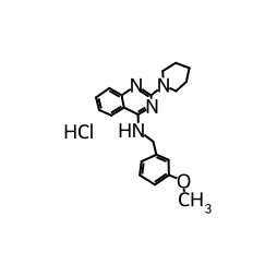 COc1cccc(CNc2nc(N3CCCCC3)nc3ccccc23)c1.Cl